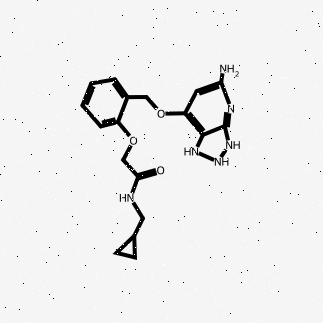 Nc1cc(OCc2ccccc2OCC(=O)NCC2CC2)c2c(n1)NNN2